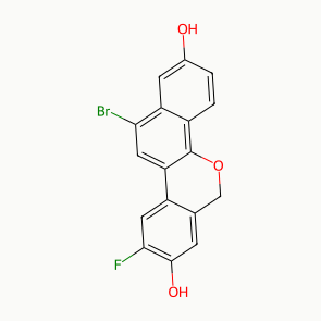 Oc1ccc2c3c(cc(Br)c2c1)-c1cc(F)c(O)cc1CO3